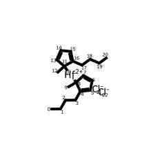 CCCCC1=CC=C[C]1(C)[Hf+2][C]1(C)C=CC=C1CCCC.[Cl-].[Cl-]